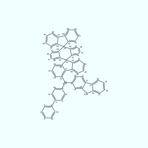 c1ccc(-c2ccc(N(c3ccc4c(c3)sc3ccccc34)c3cccc4c3-c3ccccc3C43c4ccccc4C4(c5ccccc5-c5ccccc54)c4ccccc43)cc2)cc1